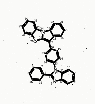 c1ccc(-c2nc3ccccc3n2-c2ccc(-c3c4ccccc4n4c3sc3ccccc34)cc2)cc1